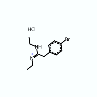 CC/N=C(\Cc1ccc(Br)cc1)NCC.Cl